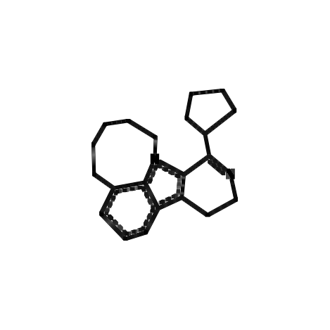 c1cc2c3c(c1)c1c(n3CCCCC2)C(C2CCCC2)=NCC1